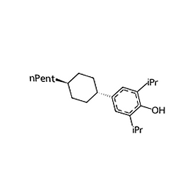 CCCCC[C@H]1CC[C@H](c2cc(C(C)C)c(O)c(C(C)C)c2)CC1